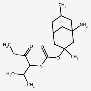 COC(=O)C(NC(=O)OC1(C)CC2CC(C)CC(N)(C2)C1)C(C)C